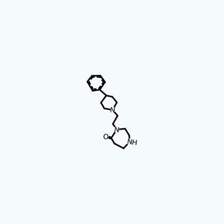 O=C1CCNCCN1CCN1CCC(c2ccccc2)CC1